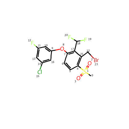 CS(=O)(=O)c1ccc(Oc2cc(F)cc(Cl)c2)c(C(F)F)c1CBr